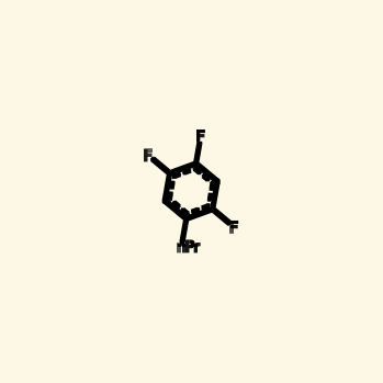 C[CH]Cc1cc(F)c(F)cc1F